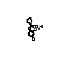 O=C(O)C(Oc1ccc(Cl)cc1Cl)N1CCSC1